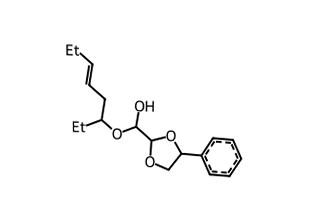 CC/C=C/CC(CC)OC(O)C1OCC(c2ccccc2)O1